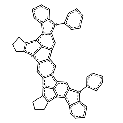 c1ccc(-n2c3ccccc3c3c4c5c(n6c7cc8c(cc7c(cc32)c46)c2cc3c(c4ccccc4n3-c3ccccc3)c3c4c(n8c23)CCC4)CCC5)cc1